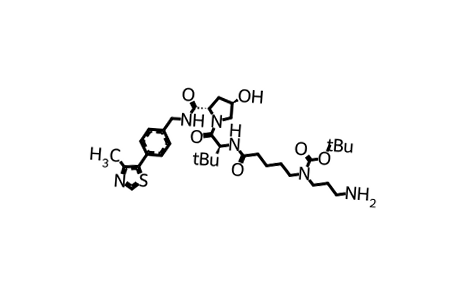 Cc1ncsc1-c1ccc(CNC(=O)[C@@H]2C[C@@H](O)CN2C(=O)[C@@H](NC(=O)CCCCN(CCCN)C(=O)OC(C)(C)C)C(C)(C)C)cc1